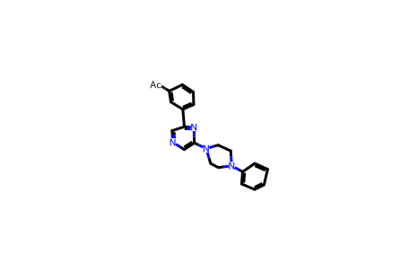 CC(=O)c1cccc(-c2cncc(N3CCN(c4ccccc4)CC3)n2)c1